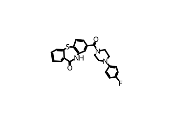 O=C1Nc2cc(C(=O)N3CCN(c4ccc(F)cc4)CC3)ccc2Sc2ccccc21